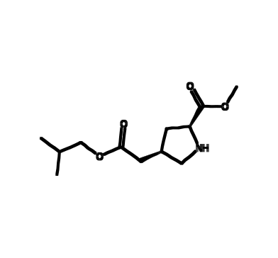 COC(=O)[C@@H]1C[C@H](CC(=O)OCC(C)C)CN1